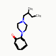 CC(=O)OCC(CN1CCN(c2cccccc2=O)CC1)OC(C)=O